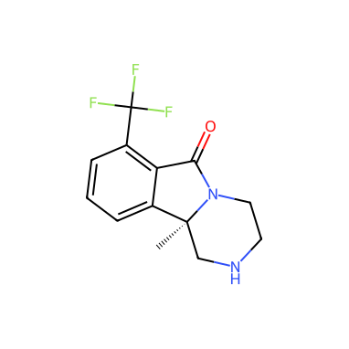 C[C@@]12CNCCN1C(=O)c1c(C(F)(F)F)cccc12